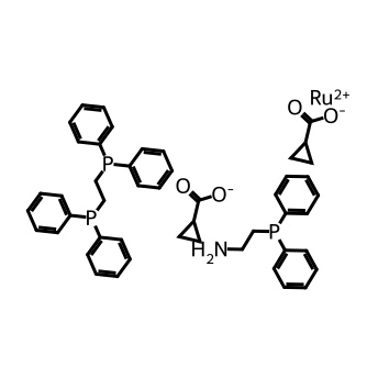 NCCP(c1ccccc1)c1ccccc1.O=C([O-])C1CC1.O=C([O-])C1CC1.[Ru+2].c1ccc(P(CCP(c2ccccc2)c2ccccc2)c2ccccc2)cc1